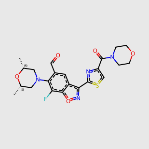 C[C@@H]1CN(c2c(C=O)cc3c(-c4nc(C(=O)N5CCOCC5)cs4)noc3c2F)C[C@H](C)O1